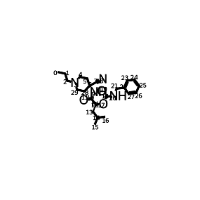 CCCN1CCC(C#N)(NC(=O)[C@H](CC(C)C)OC(=O)NCc2ccccc2)CC1